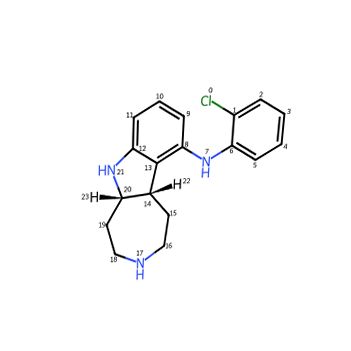 Clc1ccccc1Nc1cccc2c1[C@@H]1CCNCC[C@@H]1N2